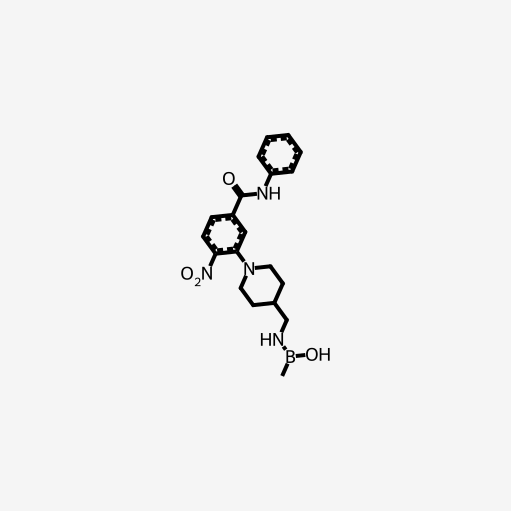 CB(O)NCC1CCN(c2cc(C(=O)Nc3ccccc3)ccc2[N+](=O)[O-])CC1